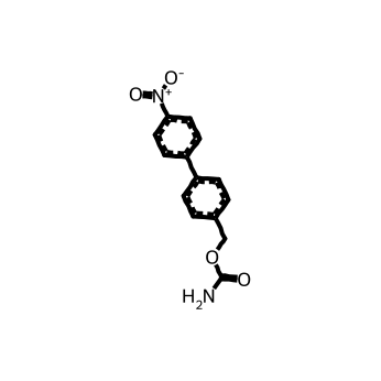 NC(=O)OCc1ccc(-c2ccc([N+](=O)[O-])cc2)cc1